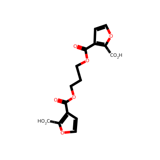 O=C(OCCCOC(=O)c1ccoc1C(=O)O)c1ccoc1C(=O)O